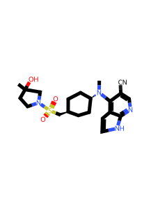 CN(c1c(C#N)cnc2[nH]ccc12)[C@H]1CC[C@H](CS(=O)(=O)N2CCC(C)(O)C2)CC1